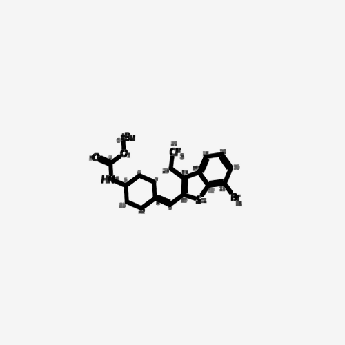 CC(C)(C)OC(=O)NC1CCC(=Cc2sc3c(Br)cccc3c2CC(F)(F)F)CC1